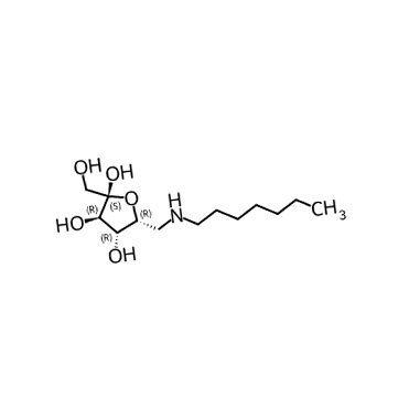 CCCCCCCNC[C@H]1O[C@@](O)(CO)[C@H](O)[C@H]1O